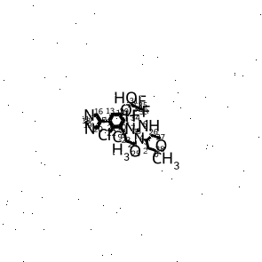 C[C@H]1C[C@@H](N2C(=N)N[C@](C)(c3cccc(-c4cncnc4)c3Cl)CC2=O)CCO1.O=C(O)C(F)(F)F